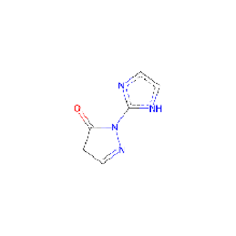 O=C1CC=NN1c1ncc[nH]1